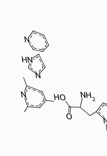 Cc1cc(C)nc(C)c1.Cn1cncc1CC(N)C(=O)O.c1c[nH]cn1.c1ccncc1